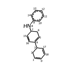 C1=CCC(C2=CCC(Nc3ccccc3)C=C2)C=C1